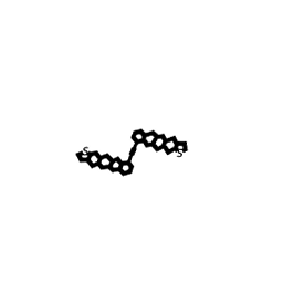 C(#Cc1cccc2cc3cc4cc5ccsc5cc4cc3cc12)c1cccc2cc3cc4cc5ccsc5cc4cc3cc12